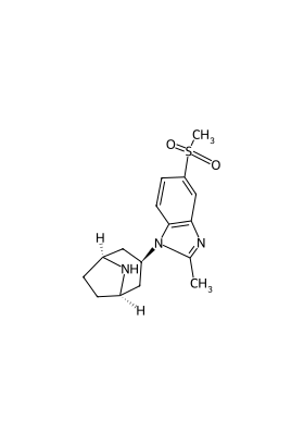 Cc1nc2cc(S(C)(=O)=O)ccc2n1[C@H]1C[C@H]2CC[C@@H](C1)N2